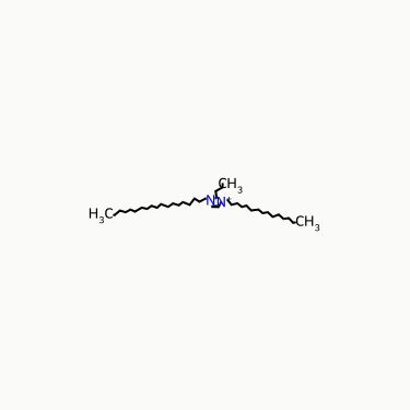 CCCCCCCCCCCCCCCCCCCn1cc[n+](CCCCCCCCCCCCCCC)c1CCC